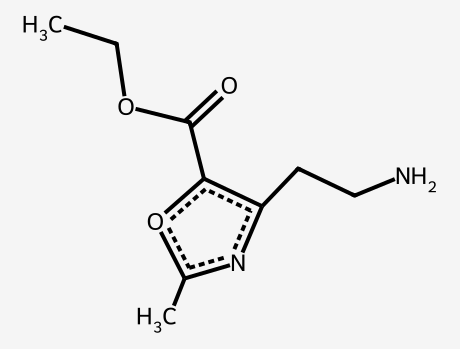 CCOC(=O)c1oc(C)nc1CCN